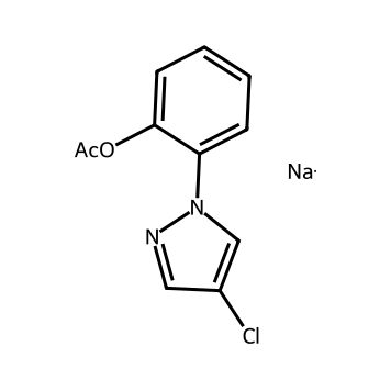 CC(=O)Oc1ccccc1-n1cc(Cl)cn1.[Na]